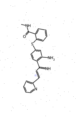 CNC(=O)c1ccccc1Sc1ccc(C(=N)/C=C/c2ccccn2)c(N)c1